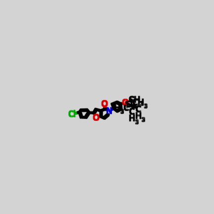 CC(C)(C)[Si](C)(C)Oc1ccc(-n2ccc3oc(-c4ccc(Cl)cc4)cc3c2=O)cc1